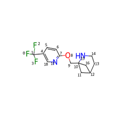 FC(F)(F)c1ccc(OCC23CC(CCN2)C3)nc1